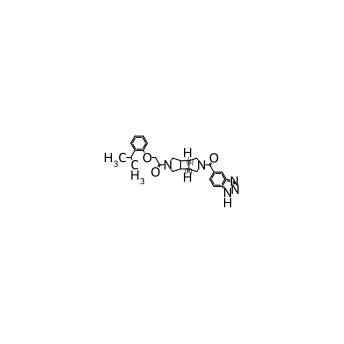 CC(C)c1ccccc1OCC(=O)N1CC2C(C1)[C@@H]1CN(C(=O)c3ccc4[nH]nnc4c3)C[C@H]21